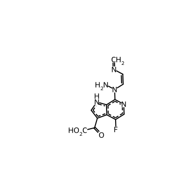 C=N/C=C\N(N)c1ncc(F)c2c(C(=O)C(=O)O)c[nH]c12